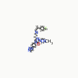 CN1CCN(c2nc(CCC/N=C/C3C[C@H]3c3ccc(F)cc3)cn(-c3ccc(-n4ccnn4)cc3)c2=O)CC1